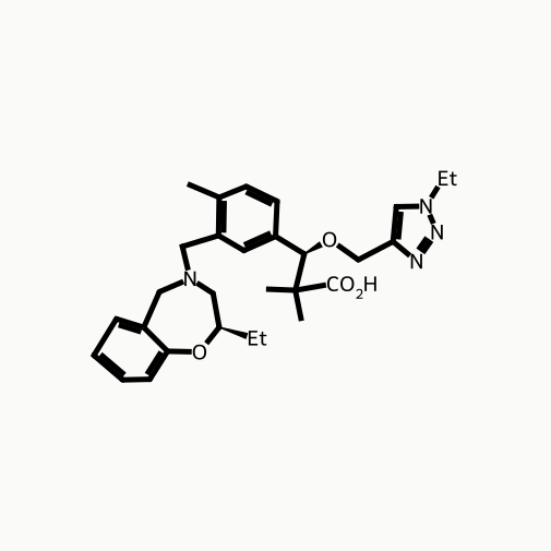 CC[C@@H]1CN(Cc2cc([C@@H](OCc3cn(CC)nn3)C(C)(C)C(=O)O)ccc2C)Cc2ccccc2O1